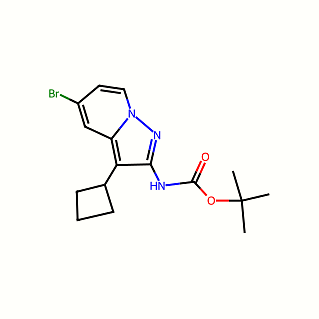 CC(C)(C)OC(=O)Nc1nn2ccc(Br)cc2c1C1CCC1